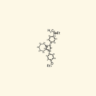 CCOc1ccc(-n2cc(-c3ccc(N(C)CC)cc3)[n+]3c2CCCCC3)cc1